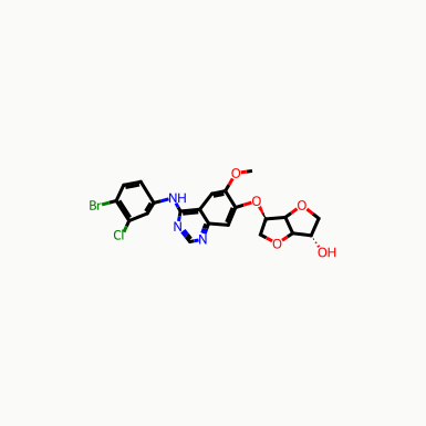 COc1cc2c(Nc3ccc(Br)c(Cl)c3)ncnc2cc1O[C@@H]1COC2C1OC[C@@H]2O